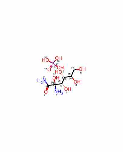 NC(=O)[C@](N)(O)[C@@H](O)[C@H](O)[C@H](O)CO.O=P(O)(O)O